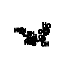 N[C@@H](Cc1c[nH]cn1)C(=O)NP(=O)(O)OC[C@H]1O[C@@H](n2ccc(=O)[nH]c2=O)C[C@@H]1O